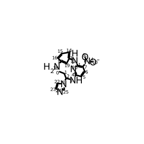 CCC(Nc1ccc([N+](=O)[O-])c(Nc2cccc(N)c2)n1)n1ccnc1